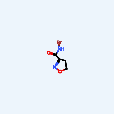 O=C(NBr)C1=NOCC1